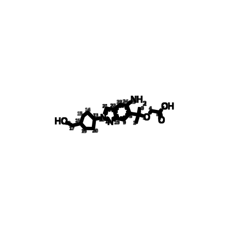 CC(C)(OCC(=O)O)c1cc2nn(C3CCC(CO)CC3)cc2cc1N